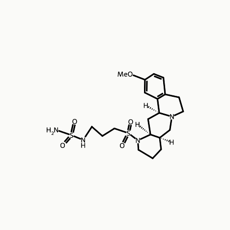 COc1ccc2c(c1)[C@@H]1C[C@H]3[C@H](CCCN3S(=O)(=O)CCCNS(N)(=O)=O)CN1CC2